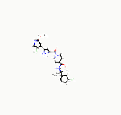 COc1cc(-c2cc(C(=O)N3CCC(C(=O)NC(C)(C)c4cccc(Cl)c4)CC3)n[nH]2)c(Cl)cn1